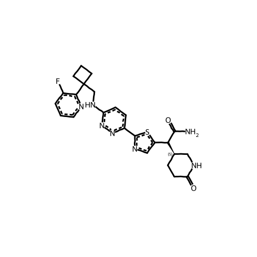 NC(=O)C(c1cnc(-c2ccc(NCC3(c4ncccc4F)CCC3)nn2)s1)[C@@H]1CCC(=O)NC1